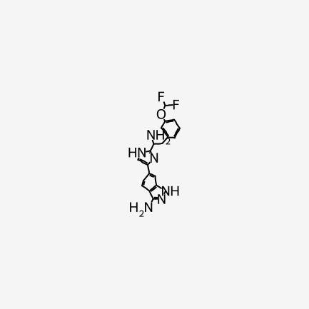 Nc1n[nH]c2cc(-c3c[nH]c(C(N)Cc4cccc(OC(F)F)c4)n3)ccc12